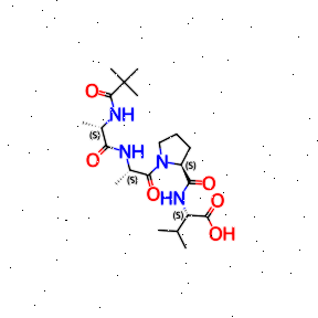 CC(C)[C@H](NC(=O)[C@@H]1CCCN1C(=O)[C@H](C)NC(=O)[C@H](C)NC(=O)C(C)(C)C)C(=O)O